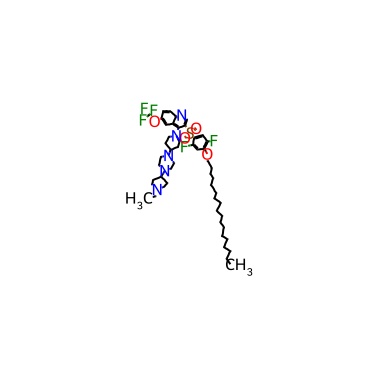 CCCCCCCCCCCCCCCCCCOc1cc(F)c(S(=O)(=O)c2cnc3ccc(OC(F)(F)F)cc3c2N2CCC(N3CCN(C4CCN(CC)CC4)CC3)CC2)cc1F